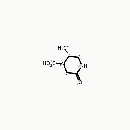 C[C@@H]1CNC(=O)CN1C(=O)O